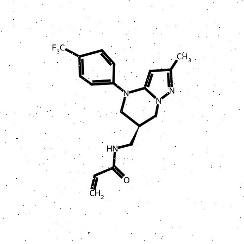 C=CC(=O)NC[C@H]1CN(c2ccc(C(F)(F)F)cc2)c2cc(C)nn2C1